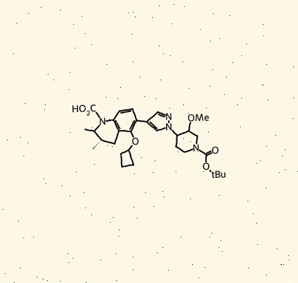 COC1CN(C(=O)OC(C)(C)C)CCC1n1cc(-c2ccc3c(c2OC2CCC2)C[C@H](C)C(C)N3C(=O)O)cn1